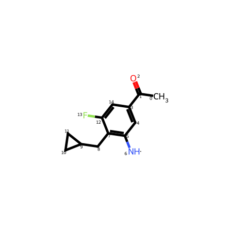 CC(=O)c1cc([NH])c(CC2CC2)c(F)c1